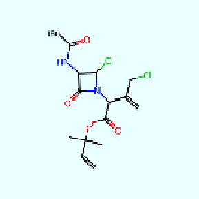 C=CC(C)(C)OC(=O)C(C(=C)CCl)N1C(=O)C(NC(=O)C(C)CC)C1Cl